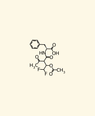 CC(=O)OC(C(F)F)C(C(C)=O)C(=O)N[C@@H](Cc1ccccc1)C(=O)O